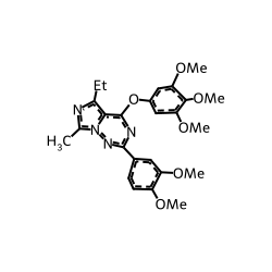 CCc1nc(C)n2nc(-c3ccc(OC)c(OC)c3)nc(Oc3cc(OC)c(OC)c(OC)c3)c12